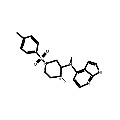 Cc1ccc(S(=O)(=O)N2CC[C@@H](C)C(N(C)c3ccnc4[nH]ccc34)C2)cc1